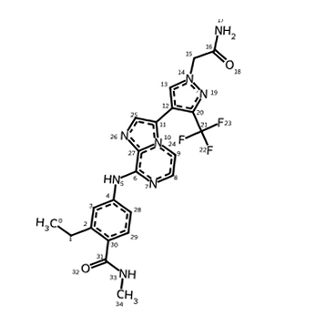 CCc1cc(Nc2nccn3c(-c4cn(CC(N)=O)nc4C(F)(F)F)cnc23)ccc1C(=O)NC